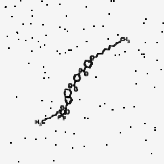 CCCCCCCCCCOc1ccc(C(=O)Oc2ccc(C(=O)OC3CCc4cc(C(=O)O[C@H](CCCCCC)C(F)(F)F)ccc4C3)cc2)cc1